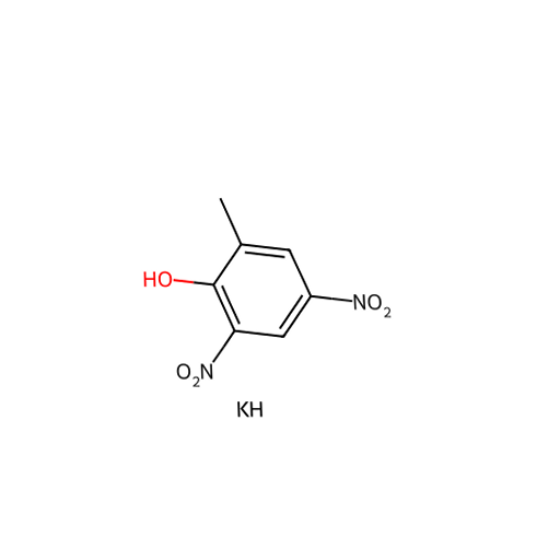 Cc1cc([N+](=O)[O-])cc([N+](=O)[O-])c1O.[KH]